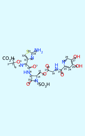 CC(C)(ON=C(C(=O)N[C@@H]1C(=O)N(S(=O)(=O)O)[C@@H]1COC(=O)CNC(=O)c1cc(O)c(O)cn1)c1csc(N)n1)C(=O)O